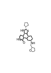 O=c1[nH]ccc2c3[nH]c(C4CCCC4)nc3c3ccc(NCC4CCCO4)cc3c12